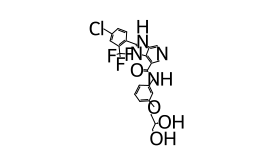 O=C(Nc1cccc(OC[C@@H](O)CO)c1)c1cncc2[nH]c(-c3ccc(Cl)cc3C(F)(F)F)nc12